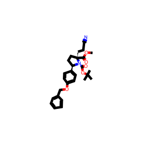 COC(=O)[C@]1(CCC#N)CC[C@H](c2ccc(OCc3ccccc3)cc2)N1C(=O)OC(C)(C)C